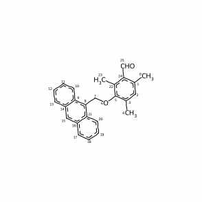 Cc1cc(C)c(OCc2c3ccccc3cc3ccccc23)c(C)c1C=O